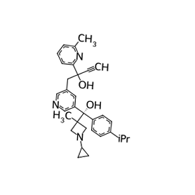 C#CC(O)(Cc1cncc([C@@](O)(c2ccc(C(C)C)cc2)C2(C)CN(C3CC3)C2)c1)c1cccc(C)n1